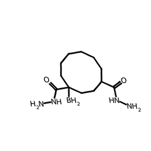 BC1(C(=O)NN)CCCCCCC(C(=O)NN)CC1